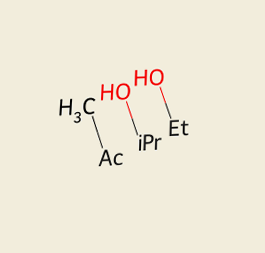 CC(C)=O.CC(C)O.CCO